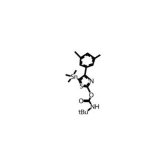 Cc1cc(C)cc(-c2nc(OC(=O)NC(C)(C)C)s[c]2[Sn]([CH3])([CH3])[CH3])c1